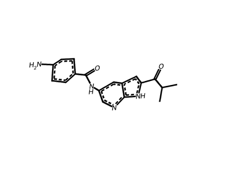 CC(C)C(=O)c1cc2cc(NC(=O)c3ccc(N)cc3)cnc2[nH]1